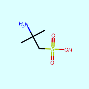 CC(C)(N)CS(=O)(=O)O